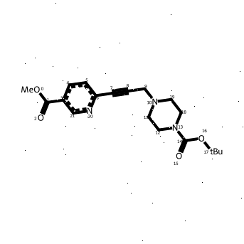 COC(=O)c1ccc(C#CCN2CCN(C(=O)OC(C)(C)C)CC2)nc1